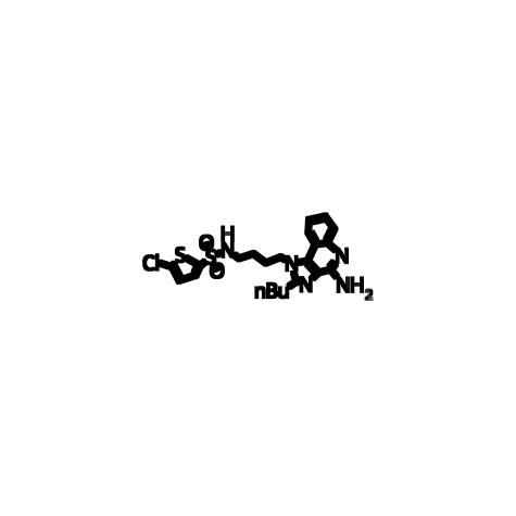 CCCCc1nc2c(N)nc3ccccc3c2n1CCCCNS(=O)(=O)c1ccc(Cl)s1